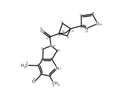 Cc1nc2c(c(C)c1Cl)CN(C(=O)C13CC(c4ccon4)(C1)C3)C2